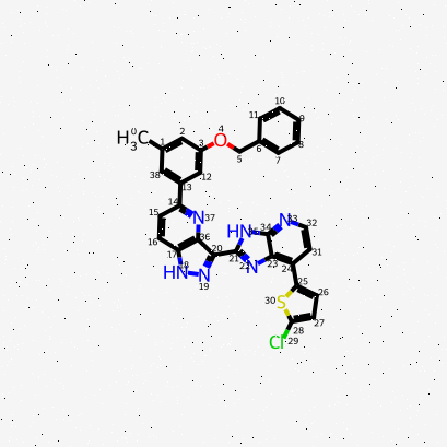 Cc1cc(OCc2ccccc2)cc(-c2ccc3[nH]nc(-c4nc5c(-c6ccc(Cl)s6)ccnc5[nH]4)c3n2)c1